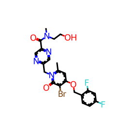 Cc1cc(OCc2ccc(F)cc2F)c(Br)c(=O)n1Cc1cnc(C(=O)N(C)CCO)cn1